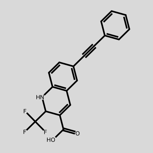 O=C(O)C1=Cc2cc(C#Cc3ccccc3)ccc2NC1C(F)(F)F